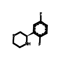 Fc1ccc(F)c([C@H]2CSCCN2)c1